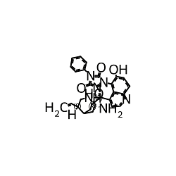 C=C[C@@H]1CN2CCC1C[C@]2(N)[C@@H](O)c1ccnc2ccc(O)c(-n3[nH]c(=O)n(-c4ccccc4)c3=O)c12